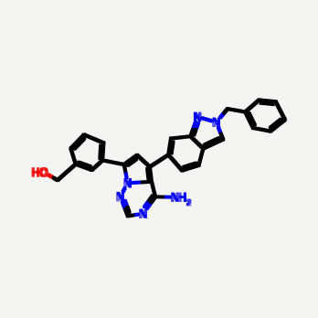 Nc1ncnn2c(-c3cccc(CO)c3)cc(-c3ccc4cn(Cc5ccccc5)nc4c3)c12